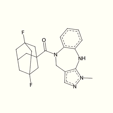 Cn1ncc2c1Nc1ccccc1N(C(=O)C13CC4CC(F)(CC(F)(C4)C1)C3)C2